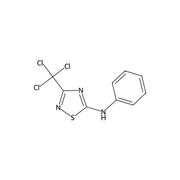 ClC(Cl)(Cl)c1nsc(Nc2ccccc2)n1